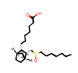 CCCCCCC[S+]([O-])C[C@@H]1[C@@H]2CC[C@@H](C2)[C@@H]1CCCCCCC(=O)O